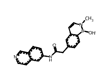 CN1C=Cc2cc(CC(=O)Nc3ccc4cnccc4c3)ccc2B1O